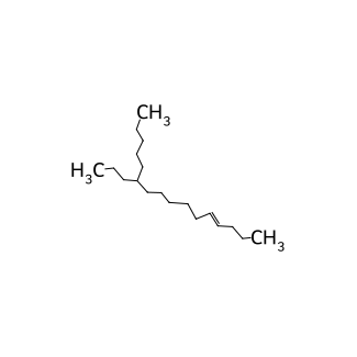 CCCC=CCCCCCC(CCC)CCCCC